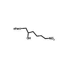 CCCCCCC(O)CCCC[N+](=O)[O-]